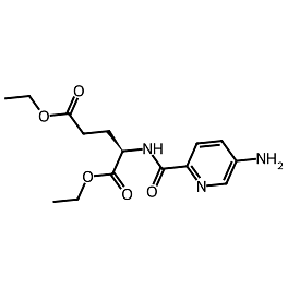 CCOC(=O)CC[C@@H](NC(=O)c1ccc(N)cn1)C(=O)OCC